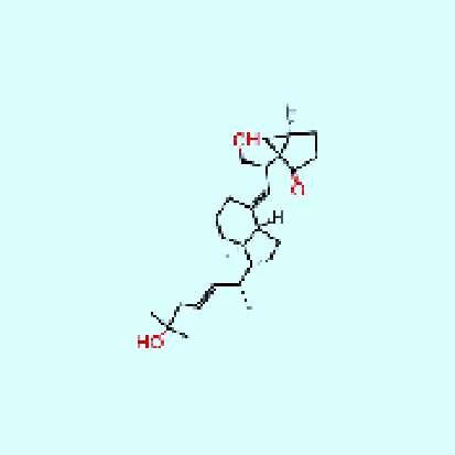 C[C@H](/C=C/CC(C)(C)O)[C@H]1CC[C@H]2/C(=C/[C@@H](CO)[C@]34C[C@H]3CCC4=O)CCC[C@]12C